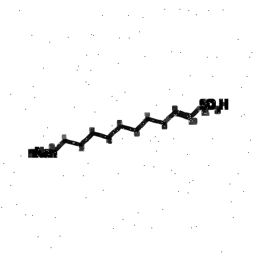 CCCCCCCCCCCCCCCCCC=CS(=O)(=O)O